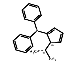 C[C@@H](N)[C@@H]1C=CC=C1P(c1ccccc1)c1ccccc1